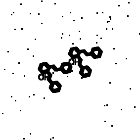 Oc1cccc(C=Cc2ccccc2)c1C=Cc1ccccc1.Oc1cccc(CCc2ccccc2)c1CCc1ccccc1